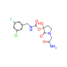 NC(=O)CN1CCC(O)(OC(=O)NCc2cc(F)cc(Cl)c2)C1=O